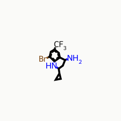 NC1CC(C2CC2)Nc2c(Br)cc(C(F)(F)F)cc21